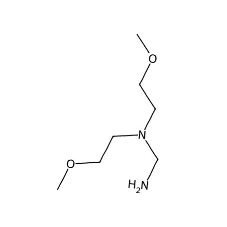 COCCN(CN)CCOC